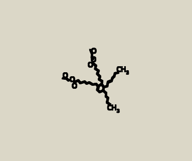 CCCCC/C=C/CC1C(CCCCCC)CC=C(CCCCCCCC(=O)OCC2CO2)C1CCCCCCCC(=O)OCC1CO1